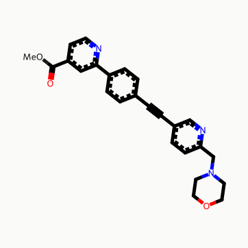 COC(=O)c1ccnc(-c2ccc(C#Cc3ccc(CN4CCOCC4)nc3)cc2)c1